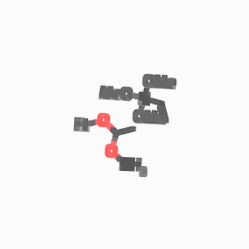 C=C[Si](OC)(OC)OC.CCOC(C)O[SiH3]